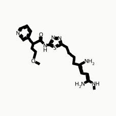 CN/C(N)=C/C=C(\N)CCCCc1nnc(NC(=O)C(CCOC)c2cccnc2)s1